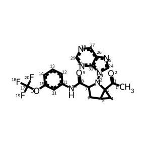 CC(=O)C12CC1CC(C(=O)Nc1cccc(OC(F)(F)F)c1)N2n1cnc2cncnc21